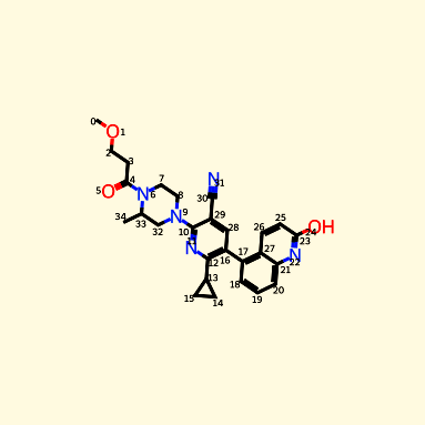 COCCC(=O)N1CCN(c2nc(C3CC3)c(-c3cccc4nc(O)ccc34)cc2C#N)CC1C